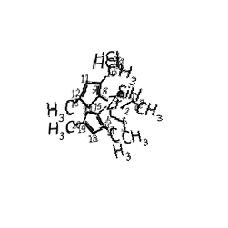 CC[CH2][Zr](=[SiH2])([CH2]CC)([C]1=C(C)C=C(C)C1)[C]1=C(C)C=C(C)C1.Cl.Cl